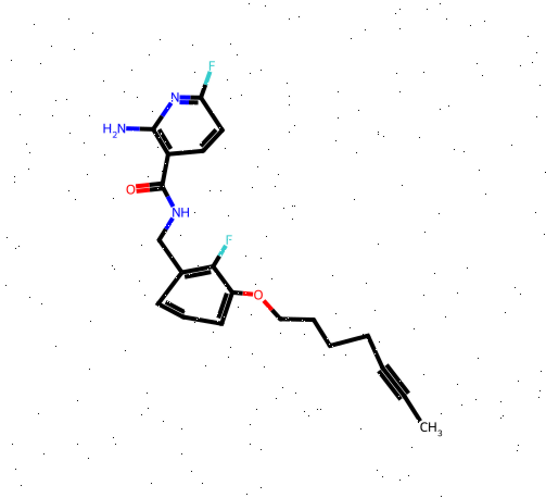 CC#CCCCCOc1cccc(CNC(=O)c2ccc(F)nc2N)c1F